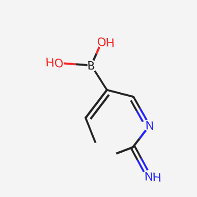 C/C=C(\C=N/C(C)=N)B(O)O